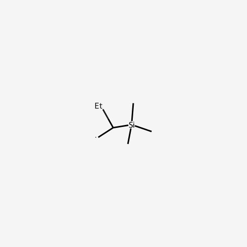 [CH2]CC([CH2])[Si](C)(C)C